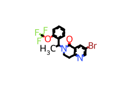 CC(c1ccccc1OC(F)(F)F)N1CCc2ncc(Br)cc2C1=O